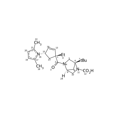 CC[C@]1(C(=O)N2C[C@@]3(C(C)(C)C)C[C@H]2CN3C(=O)O)C=C[C@@H](n2c(C)ccc2C)C1